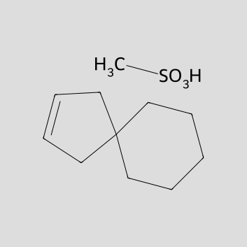 C1=CCC2(C1)CCCCC2.CS(=O)(=O)O